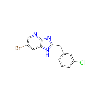 Clc1cccc(Cc2nc3ncc(Br)cc3[nH]2)c1